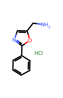 Cl.NCc1cnc(-c2ccccc2)o1